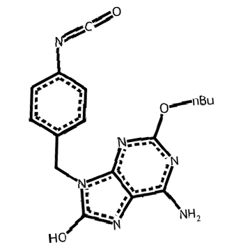 CCCCOc1nc(N)c2nc(O)n(Cc3ccc(N=C=O)cc3)c2n1